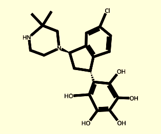 CC1(C)CN([C@@H]2C[C@@H](c3c(O)c(O)c(O)c(O)c3O)c3ccc(Cl)cc32)CCN1